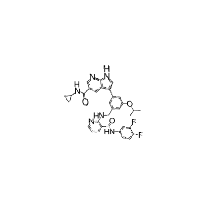 CC(C)Oc1cc(CNc2ncccc2C(=O)Nc2ccc(F)c(F)c2)cc(-c2c[nH]c3ncc(C(=O)NC4CC4)cc23)c1